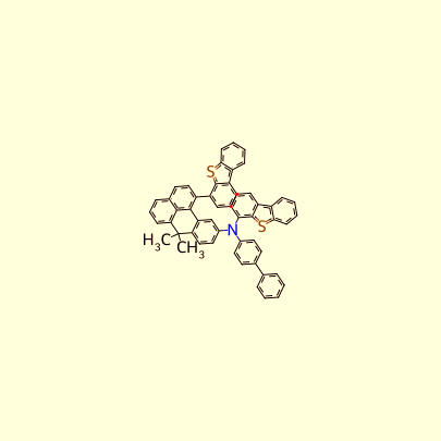 CC1(C)c2ccc(N(c3ccc(-c4ccccc4)cc3)c3cccc4c3sc3ccccc34)cc2-c2c(-c3cccc4c3sc3ccccc34)ccc3cccc1c23